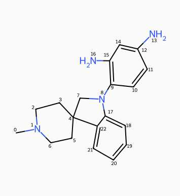 CN1CCC2(CC1)CN(c1ccc(N)cc1N)c1ccccc12